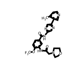 Cc1ccncc1-c1cnc(NC(=O)c2ccc(OC(F)(F)F)c(NC(=O)CN3CCOCC3)c2)cn1